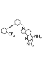 Nc1nc(N)c2ccc3c(ccn3Cc3cccc(C#Cc4ccccc4C(F)(F)F)c3)c2n1